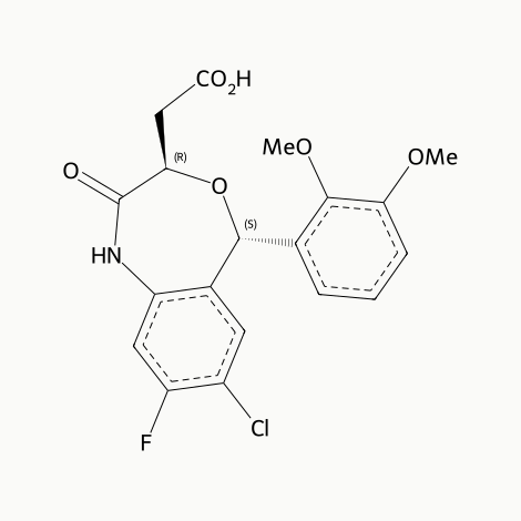 COc1cccc([C@H]2O[C@H](CC(=O)O)C(=O)Nc3cc(F)c(Cl)cc32)c1OC